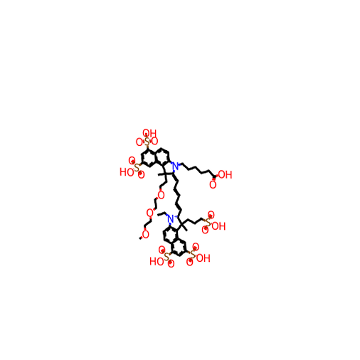 CC[N+]1=C(/C=C/C=C/C=C2/N(CCCCCC(=O)O)c3ccc4c(S(=O)(=O)O)cc(S(=O)(=O)O)cc4c3C2(C)CCOCCOCCOC)C(C)(CCCS(=O)(=O)O)c2c1ccc1c(S(=O)(=O)O)cc(S(=O)(=O)O)cc21